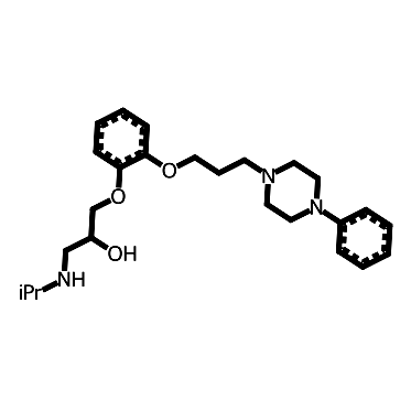 CC(C)NCC(O)COc1ccccc1OCCCN1CCN(c2ccccc2)CC1